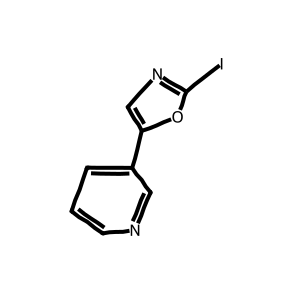 Ic1ncc(-c2cccnc2)o1